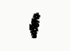 COc1ccc2c(c1)CCC(NC(=O)c1onc(-c3ccccc3)c1C)C2=O